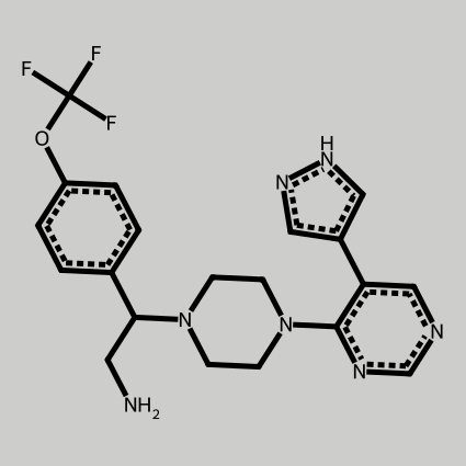 NCC(c1ccc(OC(F)(F)F)cc1)N1CCN(c2ncncc2-c2cn[nH]c2)CC1